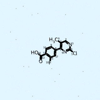 Cc1cnc(Cl)nc1-c1ccc(C(=O)O)c(F)c1